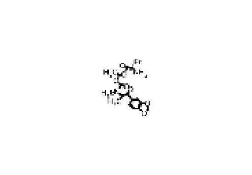 CC(OC(=O)[C@@H](N)C(C)C)OC(=O)N(C)C(C)C(=O)c1ccc2c(c1)OCO2